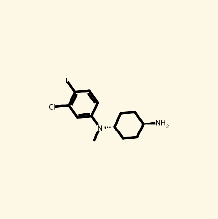 CN(c1ccc(I)c(Cl)c1)[C@H]1CC[C@H](N)CC1